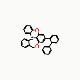 c1ccc(-c2ccccc2-c2cc3c4c(c2)Oc2ccccc2B4c2ccccc2CO3)cc1